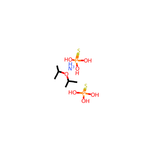 CC(C)OC(C)C.N.OP(O)(O)=S.OP(O)(O)=S